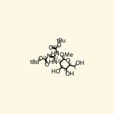 COC1OC(CO)C(O)C(O)[C@@H]1N/C(=N\C(=O)OC(C)(C)C)NC(=O)OC(C)(C)C